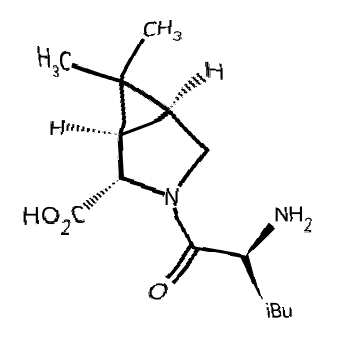 CC[C@H](C)[C@H](N)C(=O)N1C[C@H]2[C@@H]([C@H]1C(=O)O)C2(C)C